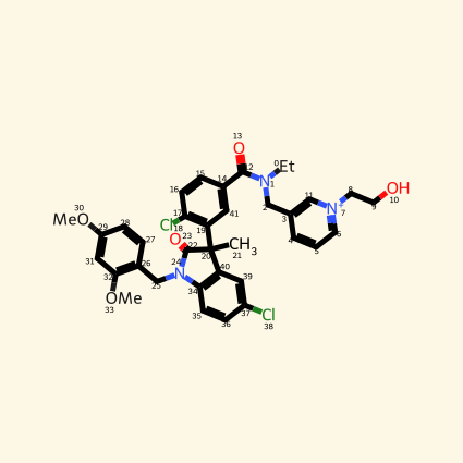 CCN(Cc1ccc[n+](CCO)c1)C(=O)c1ccc(Cl)c(C2(C)C(=O)N(Cc3ccc(OC)cc3OC)c3ccc(Cl)cc32)c1